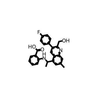 Cc1cc(C(C)Nc2ccccc2C(=O)O)c2cc(-c3ccc(F)cc3)c(CO)nc2c1